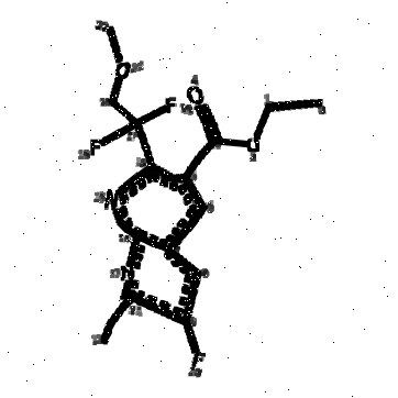 CCOC(=O)c1cc2cc(F)c(C)nc2nc1C(F)(F)COC